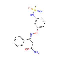 CS(=N)(=O)Nc1cccc(O/N=C(\CC(N)=O)c2ccccc2)c1